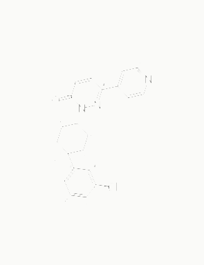 O=c1ccc(-c2ccncc2)nn1[C@H]1CC[C@](I)(c2cccc(Cl)c2)CC1